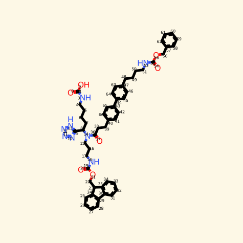 O=C(O)NCCCCC(c1nnn[nH]1)N(CCCNC(=O)OCC1c2ccccc2-c2ccccc21)C(=O)CCc1ccc(-c2ccc(CCCCNC(=O)OCc3ccccc3)cc2)cc1